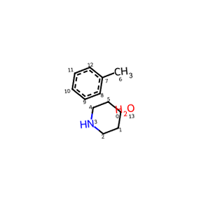 C1CCNCC1.Cc1ccccc1.O